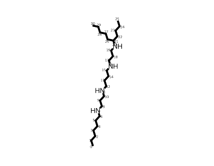 CCCCCCCNCCCNCCCCNCCCNC(CCCC)CCCCC